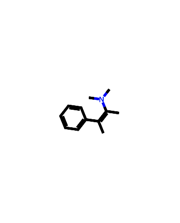 CC(=C(C)N(C)C)c1ccccc1